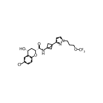 O=C(NC12CC(c3ccn(CCCOC(F)(F)F)n3)(C1)C2)[C@H]1C[C@@H](O)c2cc(Cl)ccc2O1